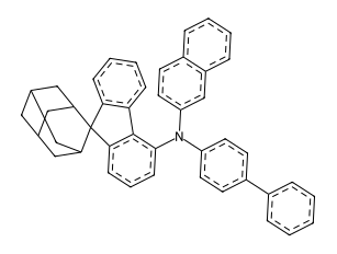 c1ccc(-c2ccc(N(c3ccc4ccccc4c3)c3cccc4c3-c3ccccc3C43C4CC5CC(C4)CC3C5)cc2)cc1